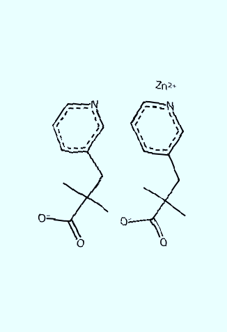 CC(C)(Cc1cccnc1)C(=O)[O-].CC(C)(Cc1cccnc1)C(=O)[O-].[Zn+2]